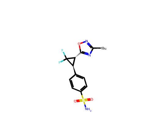 CC(C)(C)c1noc([C@@H]2[C@@H](c3ccc(S(N)(=O)=O)cc3)C2(F)F)n1